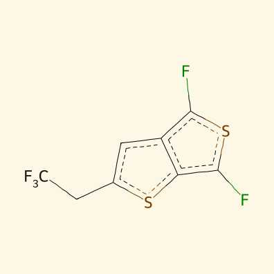 Fc1sc(F)c2sc(CC(F)(F)F)cc12